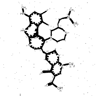 CNc1cc(F)c(F)c2c1[nH]c1ncc(-c3cnc4c(c3)c(=O)c(C(=O)O)cn4C)c(N3CCO[C@H](CN(C)C)C3)c12